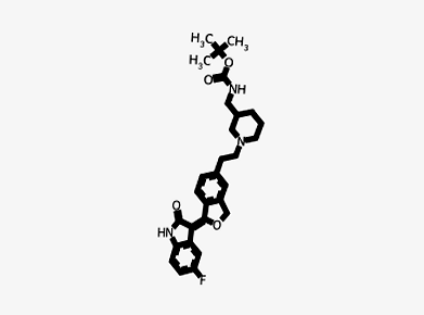 CC(C)(C)OC(=O)NCC1CCCN(CCc2ccc3c(c2)CO/C3=C2/C(=O)Nc3ccc(F)cc32)C1